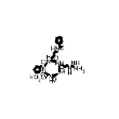 N=C(N)NCCC[C@@H]1NC(=O)[C@H](CCCCNC(=O)c2ccccc2)NC(=O)[C@@H](Cc2ccccc2)NC(=O)[C@H](CC(=O)O)NC(=O)CNC1=O